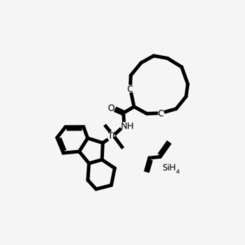 C=CC=C.[CH3][Ti]([CH3])([NH]C(=O)C1CCCCCCCCCCC1)[CH]1C2C=CC=CC2C2CCCCC21.[SiH4]